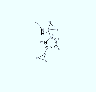 CNC1(c2coc(C3CC3)n2)CC1